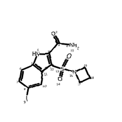 NC(=O)c1[nH]c2ccc(I)cc2c1S(=O)(=O)N1CCC1